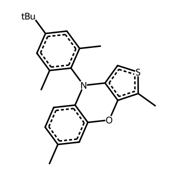 Cc1ccc2c(c1)Oc1c(csc1C)N2c1c(C)cc(C(C)(C)C)cc1C